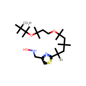 CCC(C)(CC(C)(C)CC(C)(C)OCCC(C)(C)OC(C)(C)C(C)(C)C(=O)O)c1nc(CNO)cs1